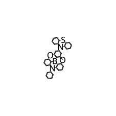 c1ccc(N2c3cccc4c3B3c5c(cc(N6c7ccccc7Sc7ccccc76)cc5Oc5cccc2c53)O4)cc1